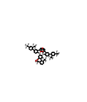 N#Cc1cc(-n2c3ccccc3c3cc(C4=C(C(F)(F)F)C=C(C(F)(F)F)CC4)ccc32)c(-n2c3ccccc3c3cc(-c4ccc(C(F)(F)F)cc4C(F)(F)F)ccc32)cc1-c1c(C(F)(F)F)cccc1C(F)(F)F